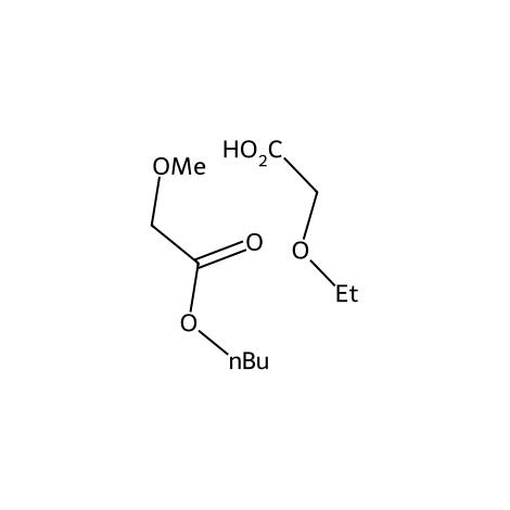 CCCCOC(=O)COC.CCOCC(=O)O